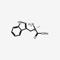 COC(=O)[C@](C)(N)Cc1c[nH]c2ccccc12